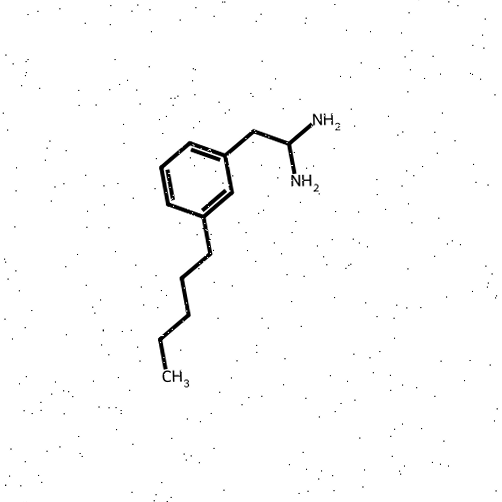 CCCCCc1cccc(CC(N)N)c1